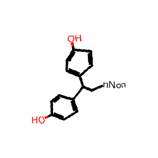 CCCCCCCCCCC(c1ccc(O)cc1)c1ccc(O)cc1